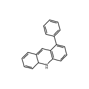 C1=CC2=Cc3c(cccc3-c3ccccc3)NC2C=C1